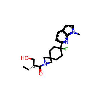 CC[C@H](CO)C(=O)N1CC2(CCC(F)(c3ccc4ccn(C)c4n3)CC2)C1